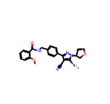 COc1ccccc1C(=O)NCc1ccc(-c2nn(C3CCOC3)c(N)c2C#N)cc1